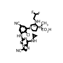 CN(C(=O)O)[C@H]1CCN(c2cc(C#N)cc(Nc3nc(NC4CC4)c4ncc(C#N)n4n3)c2Cl)C[C@H]1NCC(F)F